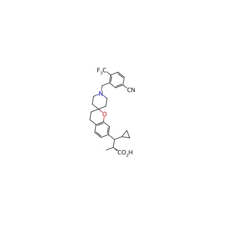 C[C@H](C(=O)O)C(c1ccc2c(c1)OC1(CC2)CCN(Cc2cc(C#N)ccc2C(F)(F)F)CC1)C1CC1